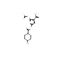 NC(=O)Nc1sc(NC(=O)C2CCC(N)CC2)cc1C(N)=O